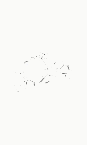 COc1cc2c(cc1Cl)CCC[C@]21COc2ccc3cc2N(C[C@@H]2CC[C@@H]2C/C=C/C[C@H](OC)[C@H](C[C@@H]2CCCO2)S(=O)(=O)NC3=O)C1